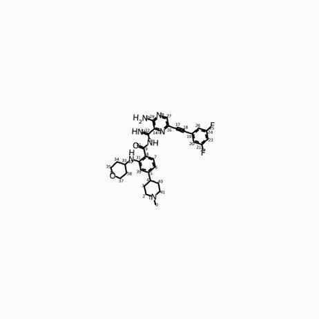 CN1CCC(c2ccc(C(=O)NC(=N)c3nc(C#Cc4cc(F)cc(F)c4)cnc3N)c(NC3CCOCC3)c2)CC1